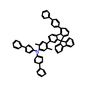 Cc1cc(N(c2ccc(-c3ccccc3)cc2)c2ccc(-c3ccccc3)cc2)c(C)cc1-c1ccc2c(c1)C1(c3ccccc3-c3ccccc31)c1cccc(-c3ccc(-c4ccccc4)cc3)c1-2